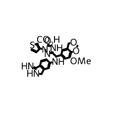 COc1cc([C@H](Nc2ccc3c(c2)CNC3=N)c2nn(-c3ccsc3C(=O)O)c(=O)[nH]2)cc2c1OCOC2